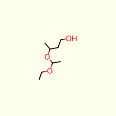 CCOC(C)OC(C)CCO